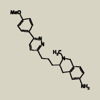 COc1ccc(-c2ccc(CCCC3Cc4cc(N)ccc4CN3C)nn2)cc1